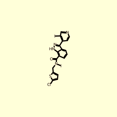 O=C(c1cccc2c(-c3ccncc3I)n[nH]c12)N(I)Cc1ccc(Cl)s1